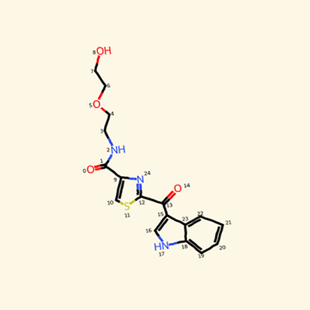 O=C(NCCOCCO)c1csc(C(=O)c2c[nH]c3ccccc23)n1